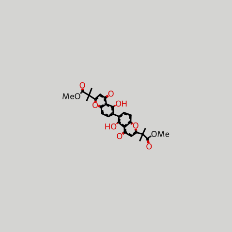 COC(=O)C(C)(C)c1cc(=O)c2c(O)c(-c3ccc4oc(C(C)(C)C(=O)OC)cc(=O)c4c3O)ccc2o1